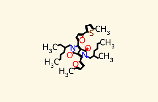 CCCCC(CC)CN1C(=O)C2=C(c3ccc(-c4ccc(C)s4)o3)N(CC(CC)CCCC)C(=O)C2=C1c1ccc(C)o1